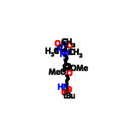 COc1cc(/C=C/c2nc3c(c(=O)n(C)c(=O)n3C)n2C)cc(OC)c1OCCCCNC(=O)OC(C)(C)C